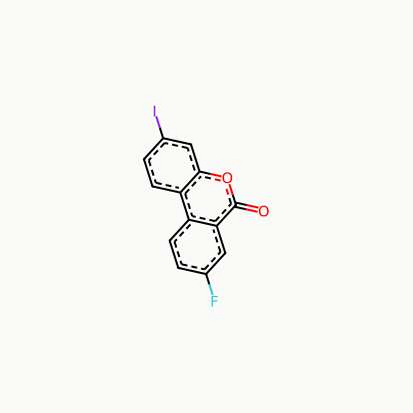 O=c1oc2cc(I)ccc2c2ccc(F)cc12